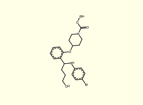 CC(C)(C)OC(=O)N1CCC(Oc2ccccc2C(CCCO)Nc2ccc(Br)cc2)CC1